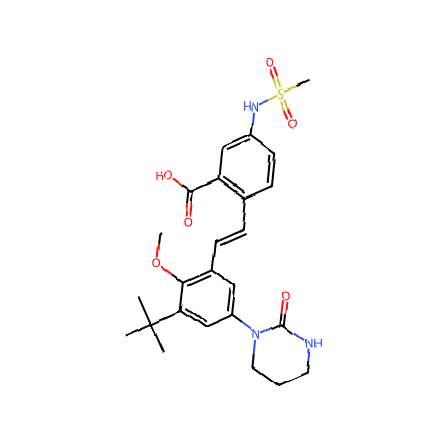 COc1c(C=Cc2ccc(NS(C)(=O)=O)cc2C(=O)O)cc(N2CCCNC2=O)cc1C(C)(C)C